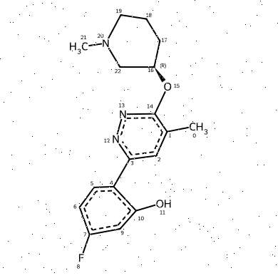 Cc1cc(-c2ccc(F)cc2O)nnc1O[C@@H]1CCCN(C)C1